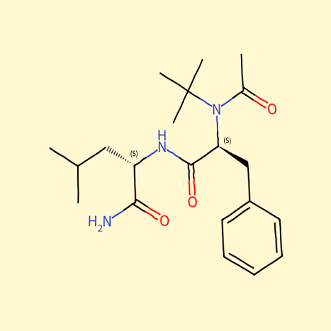 CC(=O)N([C@@H](Cc1ccccc1)C(=O)N[C@@H](CC(C)C)C(N)=O)C(C)(C)C